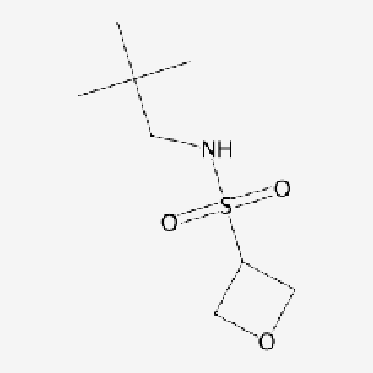 CC(C)(C)CNS(=O)(=O)C1COC1